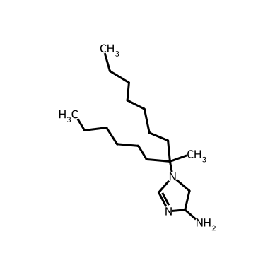 CCCCCCCC(C)(CCCCCC)N1C=NC(N)C1